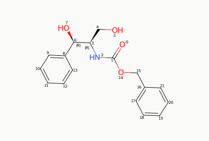 O=C(N[C@H](CO)[C@H](O)c1ccccc1)OCc1ccccc1